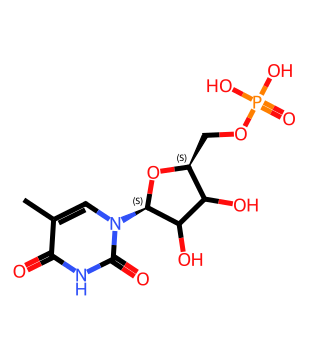 Cc1cn([C@H]2O[C@@H](COP(=O)(O)O)C(O)C2O)c(=O)[nH]c1=O